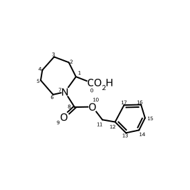 O=C(O)C1CCCCCN1C(=O)OCc1ccccc1